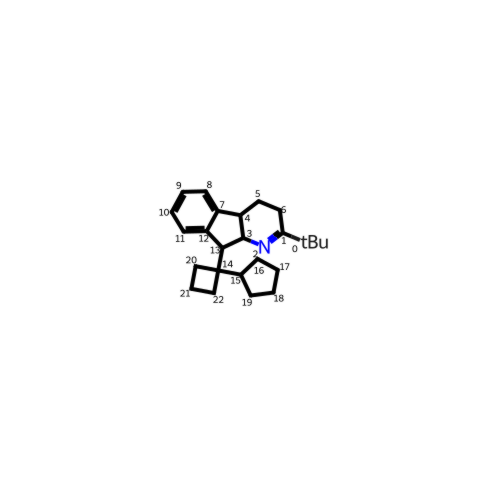 CC(C)(C)C1=NC2C(CC1)c1ccccc1C2C1(C2CCCC2)CCC1